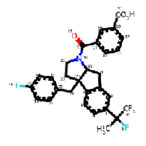 CC(F)(c1ccc2c(c1)CC1N(C(=O)c3cccc(C(=O)O)c3)CCC21Cc1ccc(F)cc1)C(F)(F)F